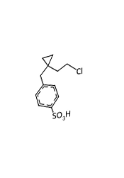 O=S(=O)(O)c1ccc(CC2(CCCl)CC2)cc1